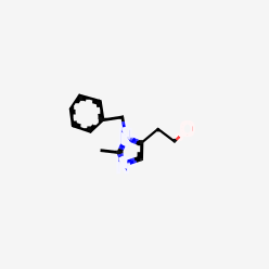 Cc1ncc(CC[O])n1Cc1ccccc1